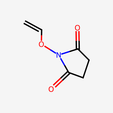 C=CON1C(=O)CCC1=O